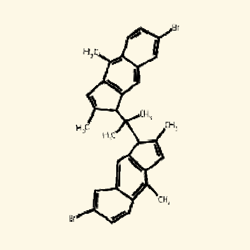 CC1=Cc2c(cc3cc(Br)ccc3c2C)C1C(C)(C)C1C(C)=Cc2c1cc1cc(Br)ccc1c2C